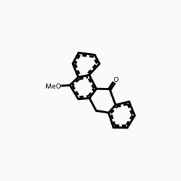 COc1cc2c(c3ccccc13)C(=O)c1ccccc1C2